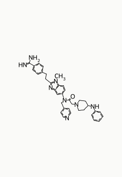 Cn1c(CCc2ccc(C(=N)N)cc2)nc2cc(N(Cc3ccncc3)C(=O)CN3CCC(Nc4ccccc4)CC3)ccc21